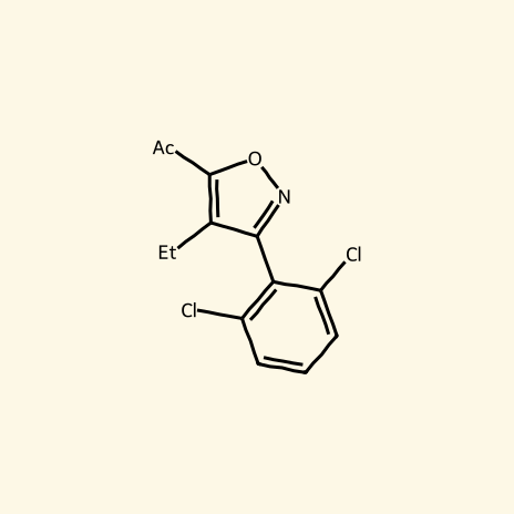 CCc1c(-c2c(Cl)cccc2Cl)noc1C(C)=O